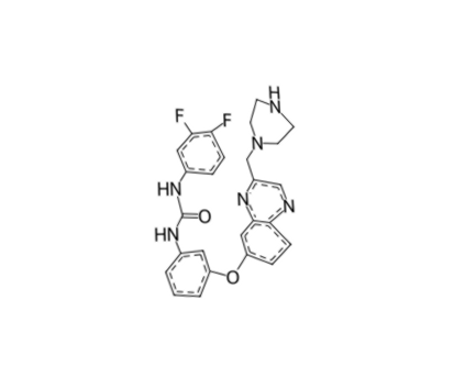 O=C(Nc1cccc(Oc2ccc3ncc(CN4CCNCC4)nc3c2)c1)Nc1ccc(F)c(F)c1